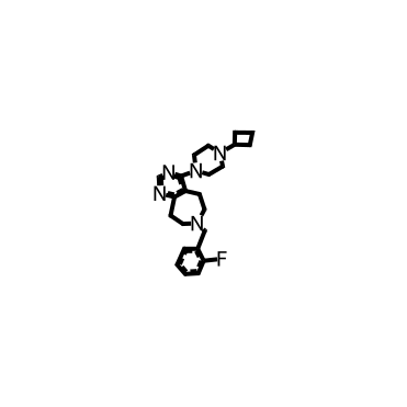 Fc1ccccc1CN1CCc2ncnc(N3CCN(C4CCC4)CC3)c2CC1